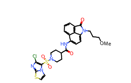 COCCCN1C(=O)c2cccc3c(NC(=O)C4CCN(S(=O)(=O)c5c(Cl)nc6sccn56)CC4)ccc1c23